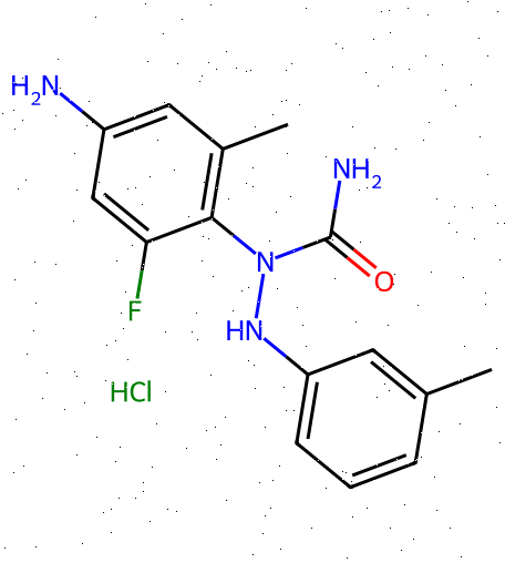 Cc1cccc(NN(C(N)=O)c2c(C)cc(N)cc2F)c1.Cl